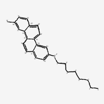 CCCCCCCCSc1ccc2ccc3c4cc(C)ccc4ccc3c2c1